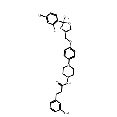 C[C@]1(c2ccc(Cl)cc2Cl)OC[C@@H](COc2ccc(N3CCN(NC(=O)CCc4cccc(O)c4)CC3)cc2)O1